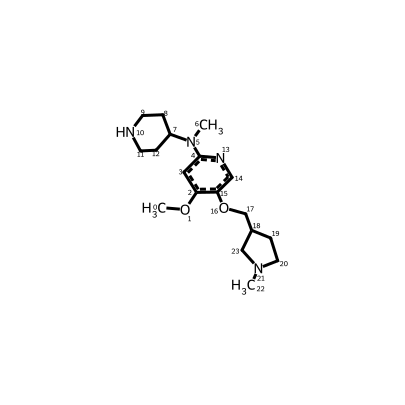 COc1cc(N(C)C2CCNCC2)ncc1OCC1CCN(C)C1